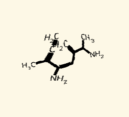 C=C=C(C)/C(N)=C\C(=C)C(C)N